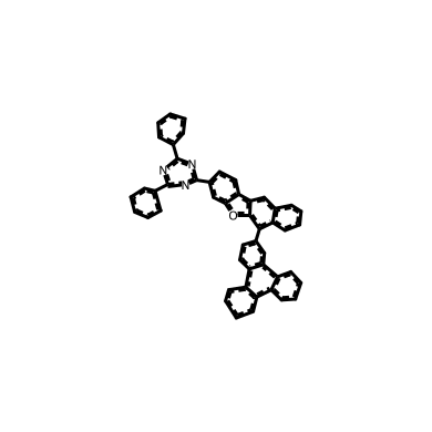 c1ccc(-c2nc(-c3ccccc3)nc(-c3ccc4c(c3)oc3c(-c5ccc6c7ccccc7c7ccccc7c6c5)c5ccccc5cc34)n2)cc1